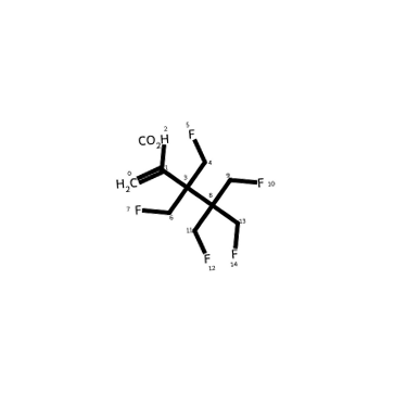 C=C(C(=O)O)C(CF)(CF)C(CF)(CF)CF